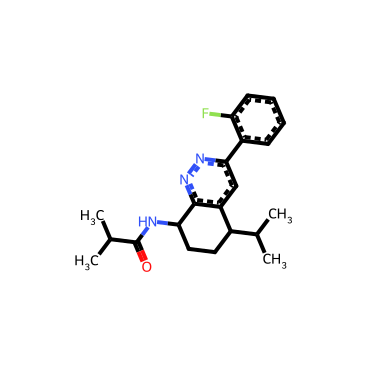 CC(C)C(=O)NC1CCC(C(C)C)c2cc(-c3ccccc3F)nnc21